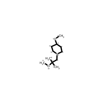 COC1CCN(CC(C)(C)OC)CC1